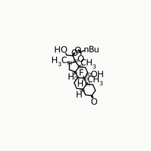 CCCCC(=O)O[C@@]1(C(=O)CO)[C@H](C)C[C@H]2[C@@H]3CC[C@H]4CC(=O)CC[C@]4(C)[C@@]3(F)[C@@H](O)C[C@@]21C